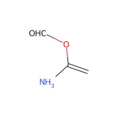 C=C(C)OC=O.N